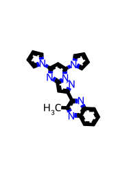 Cc1nc2ccccc2nc1-c1cc2nc(-n3cccc3)cc(-n3cccc3)n2n1